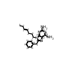 CC/C=C/CCCn1c(Cc2ccccc2)nc2c(N)nc(N)nc21